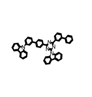 c1ccc(-c2cccc(-c3nc(-c4ccc(-c5cccc(-n6c7ccccc7c7ccccc76)c5)cc4)nc(-n4c5ccccc5c5ccccc54)n3)c2)cc1